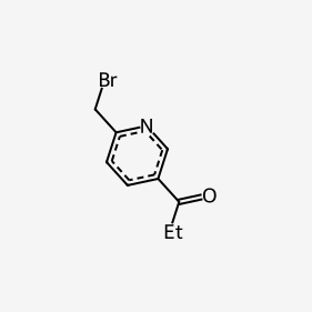 CCC(=O)c1ccc(CBr)nc1